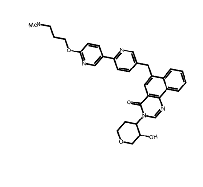 CNCCCOc1ccc(-c2ccc(Cc3cc4c(=O)n(C5CCOC[C@@H]5O)cnc4c4ccccc34)cn2)cn1